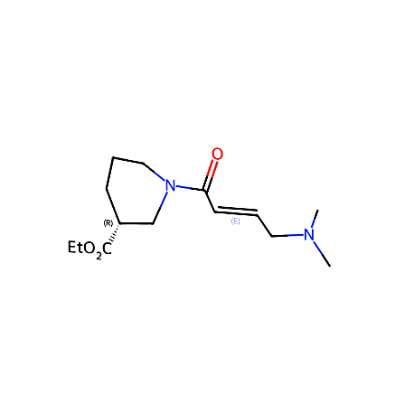 CCOC(=O)[C@@H]1CCCN(C(=O)/C=C/CN(C)C)C1